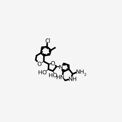 Cc1cc2c(cc1Cl)CCO[C@H]2[C@H]1O[C@@H](n2ccc3c2NCNC3N)[C@H](O)[C@@H]1O